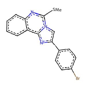 CSc1nc2ccccc2c2nc(-c3ccc(Br)cc3)cn12